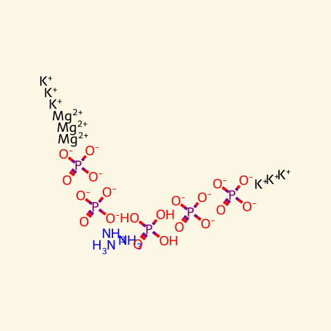 N.N.N.O=P(O)(O)O.O=P([O-])([O-])[O-].O=P([O-])([O-])[O-].O=P([O-])([O-])[O-].O=P([O-])([O-])[O-].[K+].[K+].[K+].[K+].[K+].[K+].[Mg+2].[Mg+2].[Mg+2]